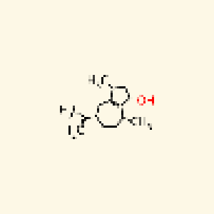 C=C(C)[C@@H]1CC[C@H](C)C2=C(C1)[C@@H](C)C[C@@H]2O